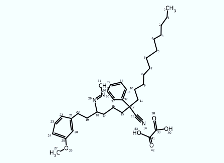 CCCCCCCCCCCCC(C#N)(CCCC(CCc1cccc(OC)c1)/N=N/C)c1ccccc1.O=C(O)C(=O)O